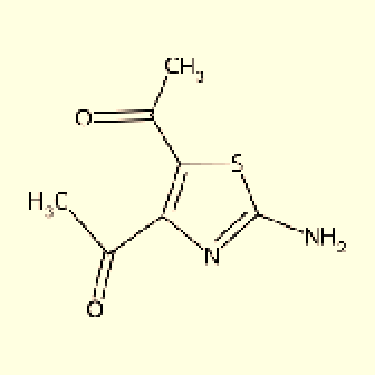 CC(=O)c1nc(N)sc1C(C)=O